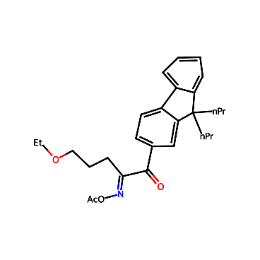 CCCC1(CCC)c2ccccc2-c2ccc(C(=O)/C(CCCOCC)=N/OC(C)=O)cc21